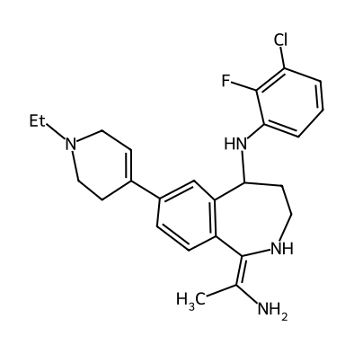 CCN1CC=C(c2ccc3c(c2)C(Nc2cccc(Cl)c2F)CCN/C3=C(/C)N)CC1